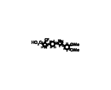 COc1ccc(-c2cn(-c3ccc(-n4ncc(C(=O)O)c4C(F)(F)F)cc3)nn2)cc1OC